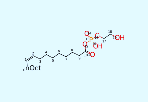 CCCCCCCC/C=C\CCCCCCCC(=O)OP(=O)(O)OCCO